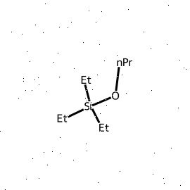 C[CH]CO[Si](CC)(CC)CC